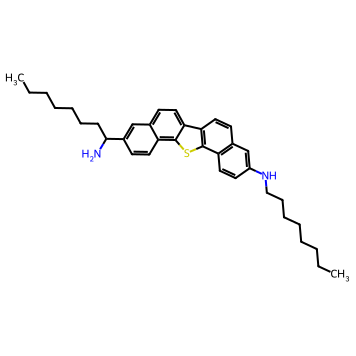 CCCCCCCCNc1ccc2c(ccc3c4ccc5cc(C(N)CCCCCCC)ccc5c4sc23)c1